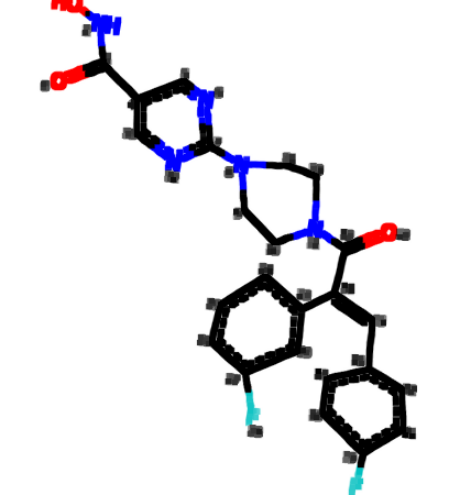 O=C(NO)c1cnc(N2CCN(C(=O)C(=Cc3ccc(F)cc3)c3cccc(F)c3)CC2)nc1